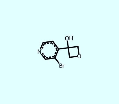 OC1(c2ccncc2Br)COC1